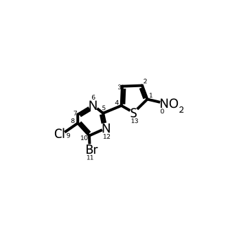 O=[N+]([O-])c1ccc(-c2ncc(Cl)c(Br)n2)s1